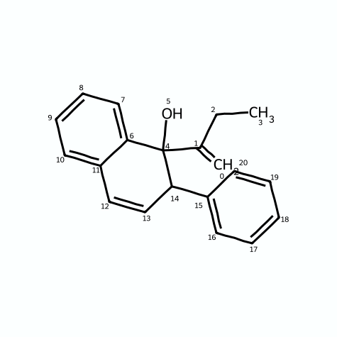 C=C(CC)C1(O)c2ccccc2C=CC1c1ccccc1